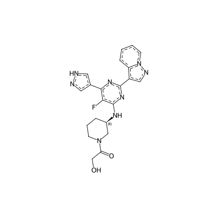 O=C(CO)N1CCC[C@@H](Nc2nc(-c3cnn4ccccc34)nc(-c3cn[nH]c3)c2F)C1